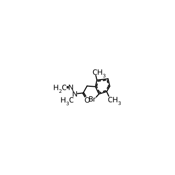 C=NN(C)C(=O)Cc1c(C)ccc(C)c1Br